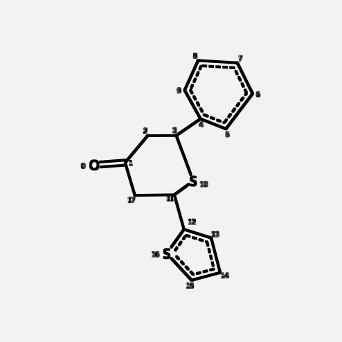 O=C1CC(c2ccccc2)SC(c2cccs2)C1